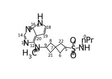 CCCNS(=O)(=O)C1CC2(CC(N(C)c3ncnc4[nH]ccc34)C2)C1